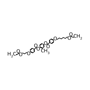 C=CC(=O)OCCCCCCOc1ccc(C(=O)Oc2ccc(OC(=O)c3ccc(OCCCOC(=O)C=C)cc3)c(C)c2)cc1